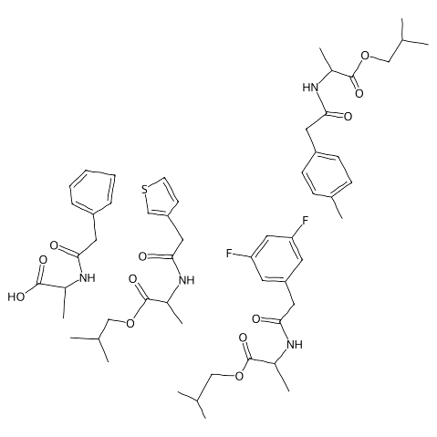 CC(C)COC(=O)C(C)NC(=O)Cc1cc(F)cc(F)c1.CC(C)COC(=O)C(C)NC(=O)Cc1ccsc1.CC(NC(=O)Cc1ccccc1)C(=O)O.Cc1ccc(CC(=O)NC(C)C(=O)OCC(C)C)cc1